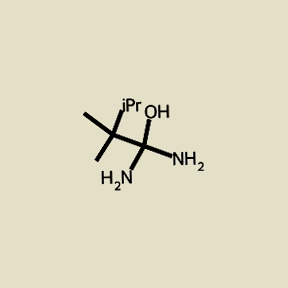 CC(C)C(C)(C)C(N)(N)O